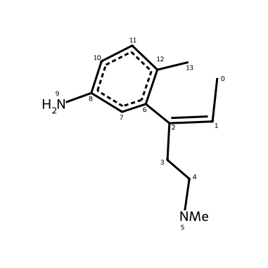 C/C=C(/CCNC)c1cc(N)ccc1C